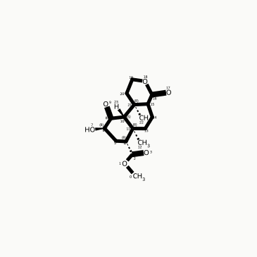 COC(=O)[C@@H]1C[C@@H](O)C(=O)[C@H]2[C@@]1(C)CCC1C(=O)OCC[C@@]12C